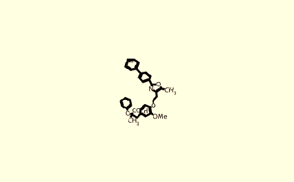 COc1cc(CC(C)(Oc2ccccc2)C(=O)O)ccc1OCCc1nc(-c2ccc(-c3ccccc3)cc2)oc1C